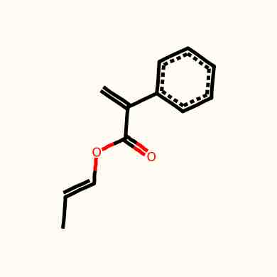 C=C(C(=O)OC=CC)c1ccccc1